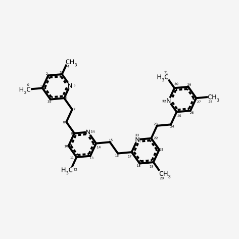 Cc1cc(C)nc(CCc2cc(C)cc(CCc3cc(C)cc(CCc4cc(C)cc(C)n4)n3)n2)c1